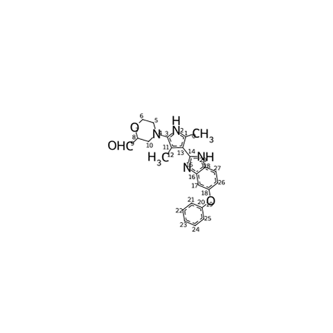 Cc1[nH]c(N2CCOC(C=O)C2)c(C)c1-c1nc2cc(Oc3ccccc3)ccc2[nH]1